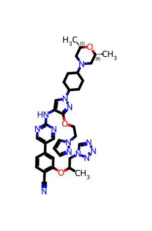 CC(Cn1cnnn1)Oc1cc(-c2cnc(Nc3cn(C4CCC(N5C[C@@H](C)O[C@@H](C)C5)CC4)nc3OCCn3cccn3)nc2)ccc1C#N